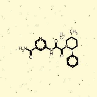 C[C@@H]1CC[C@@H](c2ccccc2)N(C(=O)C(=O)Nc2cncc(C(N)=O)c2)[C@@H]1C